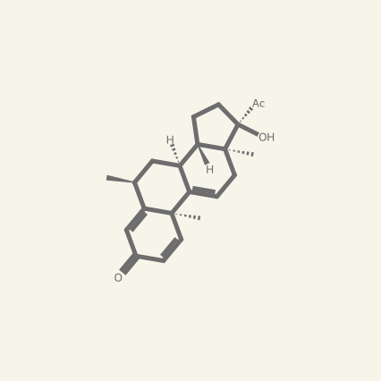 CC(=O)[C@@]1(O)CC[C@H]2[C@@H]3C[C@H](C)C4=CC(=O)C=C[C@]4(C)C3=CC[C@@]21C